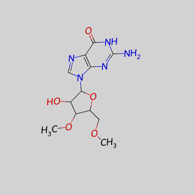 COCC1OC(n2cnc3c(=O)[nH]c(N)nc32)C(O)C1OC